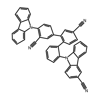 N#Cc1ccc(-c2ccccc2-n2c3ccccc3c3cc(C#N)ccc32)c(-c2ccc(-n3c4ccccc4c4ccccc43)c(C#N)c2)c1